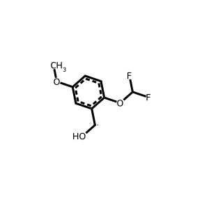 COc1ccc(OC(F)F)c([CH]O)c1